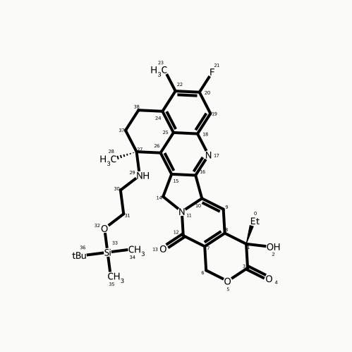 CC[C@@]1(O)C(=O)OCc2c1cc1n(c2=O)Cc2c-1nc1cc(F)c(C)c3c1c2[C@@](C)(NCCO[Si](C)(C)C(C)(C)C)CC3